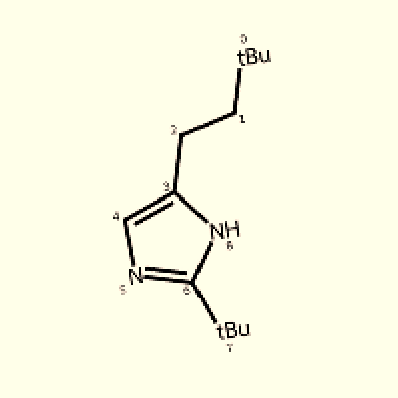 CC(C)(C)CCc1cnc(C(C)(C)C)[nH]1